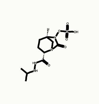 CC(C)NNC(=O)[C@@H]1CC[C@@H]2CN1C(=O)N2OS(=O)(=O)O